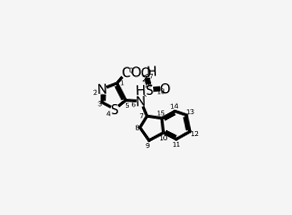 O=C(O)c1ncsc1N(C1CCc2ccccc21)[SH](=O)=O